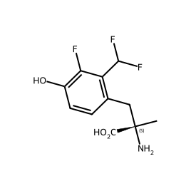 C[C@](N)(Cc1ccc(O)c(F)c1C(F)F)C(=O)O